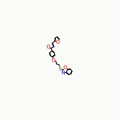 O=C(/C=C/c1ccco1)c1ccc(OCCCSc2nc3ccccc3o2)cc1